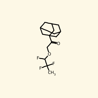 CC(F)(F)C(F)OCC(=O)C12CC3CC(CC(C3)C1)C2